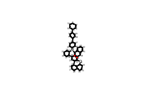 c1ccc(-c2ccc(-c3ccc(N(c4ccccc4-c4ccc5c(c4)-c4cccc6cccc(c46)O5)c4cccc5ccccc45)cc3)cc2)cc1